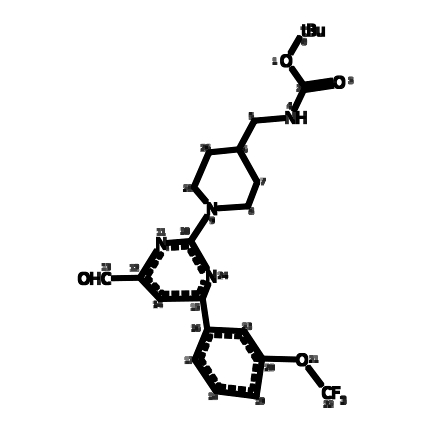 CC(C)(C)OC(=O)NCC1CCN(c2nc(C=O)cc(-c3cccc(OC(F)(F)F)c3)n2)CC1